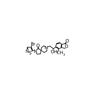 Cc1c(C(O)CN2CCC3(CC2)CCN(c2sncc2Br)C3=O)ccc2c1COC2=O